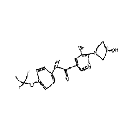 CC(F)(F)Oc1ccc(NC(=O)c2cnc(N3CC[C@@H](O)C3)c(Br)c2)cc1